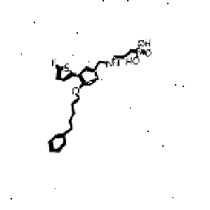 O=P(O)(O)CCCNCc1ccc(OCCCCCc2ccccc2)c(-c2ccc(F)s2)c1